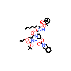 C=CCCCC[C@@H](NC(=O)[C@@H]1C[C@@H](OC(=O)N2Cc3ccccc3C2)CN1C(=O)[C@H](COCC=C)NC(=O)OC(C)(C)C)B1OC2CC3CC(C3(C)C)C2(C)O1